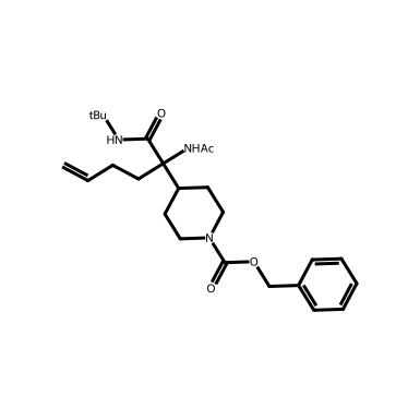 C=CCCC(NC(C)=O)(C(=O)NC(C)(C)C)C1CCN(C(=O)OCc2ccccc2)CC1